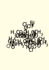 CCOC(=O)C(C)OC(=O)c1cc(Oc2ccc(C(F)(F)F)cc2Cl)ccc1[N+](=O)[O-].CN(C)C(=O)Nc1cccc(OC(=O)NC(C)(C)C)c1.CON(C)C(=O)Nc1ccc(Cl)c(Cl)c1.O=c1[nH]c2c(c(=O)n1C1CCCCC1)CCC2